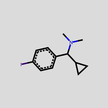 CN(C)C(c1ccc(I)cc1)C1CC1